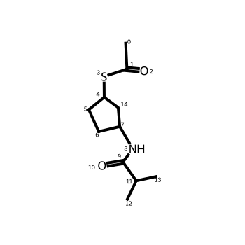 CC(=O)SC1CCC(NC(=O)C(C)C)C1